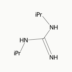 CC(C)NC(=N)NC(C)C